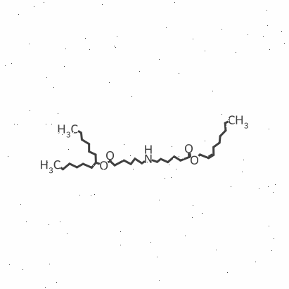 CCCCCC/C=C\COC(=O)CCCCCNCCCCCC(=O)OC(CCCCCC)CCCCCC